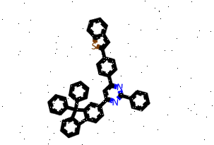 c1ccc(-c2nc(-c3ccc(-c4cc5ccccc5s4)cc3)cc(-c3ccc4c(c3)C(c3ccccc3)(c3ccccc3)c3ccccc3-4)n2)cc1